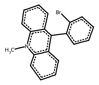 C[n+]1c2ccccc2c(-c2ccccc2Br)c2ccccc21